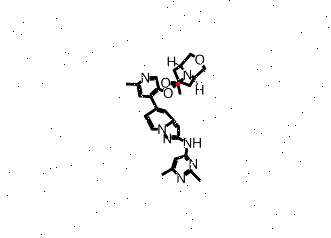 CC(=O)N1[C@@H]2COC[C@H]1CC(Oc1cnc(C)cc1-c1ccn3nc(Nc4cc(C)nc(C)n4)cc3c1)C2